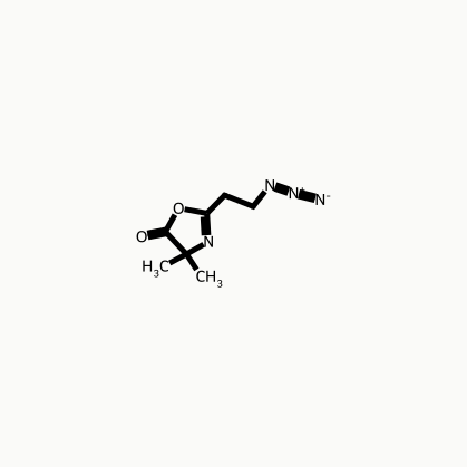 CC1(C)N=C(CCN=[N+]=[N-])OC1=O